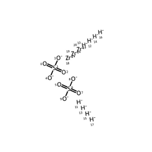 O=S(=O)([O-])[O-].O=S(=O)([O-])[O-].[H-].[H-].[H-].[H-].[H-].[H-].[H-].[H-].[Zr+4].[Zr+4].[Zr+4]